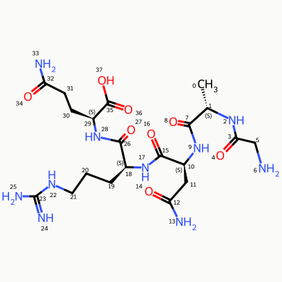 C[C@H](NC(=O)CN)C(=O)N[C@@H](CC(N)=O)C(=O)N[C@@H](CCCNC(=N)N)C(=O)N[C@@H](CCC(N)=O)C(=O)O